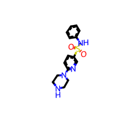 O=S(=O)(Nc1ccccc1)c1ccc(N2CCNCC2)nc1